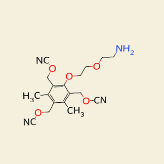 Cc1c(COC#N)c(C)c(COC#N)c(OCCOCCN)c1COC#N